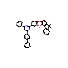 CC1(C)C2=C(C=CCC2)c2c1ccc1c2Oc2cc(-c3nc(-c4ccccc4)cc(-c4ccc(-c5ccccc5)cc4)n3)ccc2O1